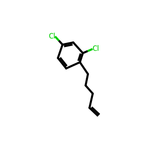 C=CCCCc1ccc(Cl)cc1Cl